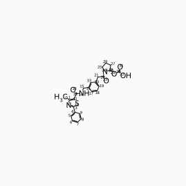 Cc1nc(-c2ccccc2)sc1C(=O)NCc1cccc(CC(=O)N2CCC[C@H]2OC(=O)O)c1